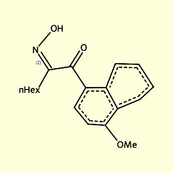 CCCCCC/C(=N/O)C(=O)c1ccc(OC)c2ccccc12